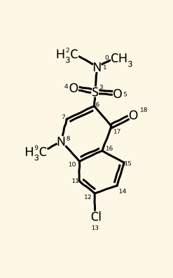 CN(C)S(=O)(=O)c1cn(C)c2cc(Cl)ccc2c1=O